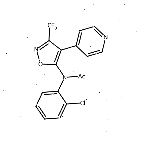 CC(=O)N(c1ccccc1Cl)c1onc(C(F)(F)F)c1-c1ccncc1